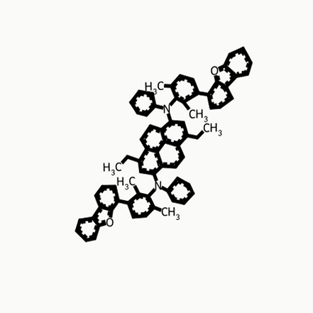 CCc1cc(N(c2ccccc2)c2c(C)ccc(-c3cccc4c3oc3ccccc34)c2C)c2ccc3c(CC)cc(N(c4ccccc4)c4c(C)ccc(-c5cccc6c5oc5ccccc56)c4C)c4ccc1c2c34